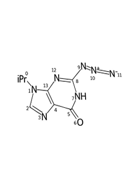 CC(C)n1cnc2c(=O)[nH]c(N=[N+]=[N-])nc21